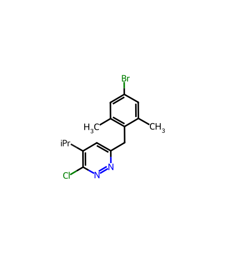 Cc1cc(Br)cc(C)c1Cc1cc(C(C)C)c(Cl)nn1